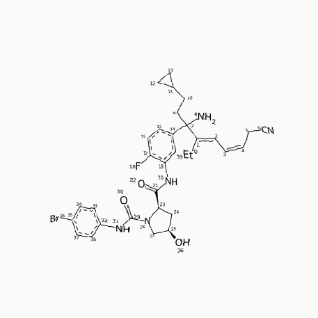 CC/C(=C\C=C/CC#N)C(N)(CCC1CC1)c1ccc(F)c(NC(=O)[C@H]2C[C@@H](O)CN2C(=O)Nc2ccc(Br)cc2)c1